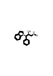 CCNC[C@H](O)[C@@H](c1ccccc1)n1ccc2ccccc21